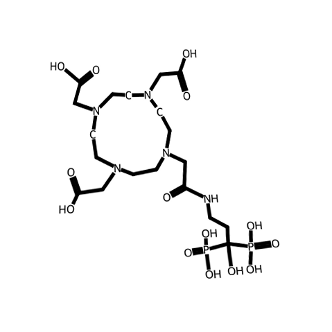 O=C(O)CN1CCN(CC(=O)O)CCN(CC(=O)NCCC(O)(P(=O)(O)O)P(=O)(O)O)CCN(CC(=O)O)CC1